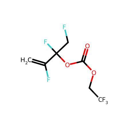 C=C(F)C(F)(CF)OC(=O)OCC(F)(F)F